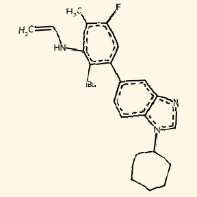 C=CNc1c(C)c(F)cc(-c2ccc3c(c2)ncn3C2CCCCC2)c1C(C)CC